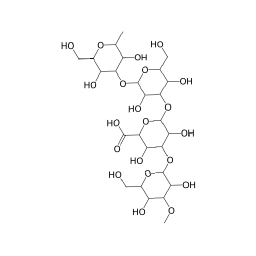 COC1C(O)C(CO)OC(OC2C(O)C(OC3C(O)C(CO)OC(OC4C(O)C(C)OC(CO)C4O)C3O)OC(C(=O)O)C2O)C1O